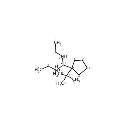 CCN[SiH](NCC)C1(C(C)(C)C)CCCC1